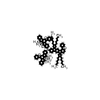 CCCCCCCCC1(CCCCCCCC)c2cc(N(c3ccc4c(c3)C(C)(C)c3c5c(c6c(oc7ccccc76)c3-4)-c3ccccc3C5(C)C)c3ccc4c(c3)C(C)(C)c3c5c(c6oc7ccccc7c6c3-4)-c3ccccc3C5(C)C)ccc2-c2cc3c(cc21)-c1c(ccc2oc4ccccc4c12)C3(CCCCCCCC)CCCCCCCC